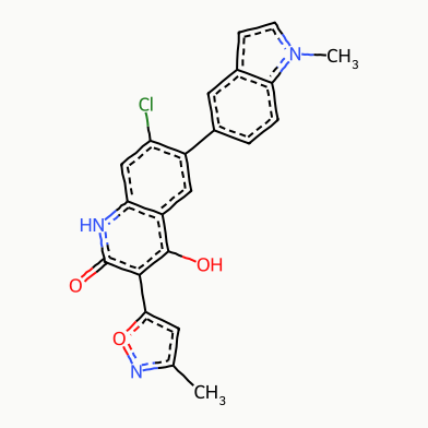 Cc1cc(-c2c(O)c3cc(-c4ccc5c(ccn5C)c4)c(Cl)cc3[nH]c2=O)on1